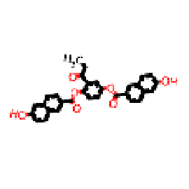 CCC(=O)c1cc(OC(=O)c2ccc3cc(O)ccc3c2)ccc1OC(=O)c1ccc2cc(O)ccc2c1